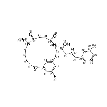 CCCN1CCCCOc2cc(F)cc(c2)CC(C(O)CNCc2cncc(CC)c2)NC(=O)CCC1=O